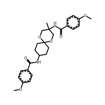 COc1ccc(C(=O)NC2CCC3(CC2)OCC(C)(NC(=O)c2ccc(OC)cc2)CO3)cc1